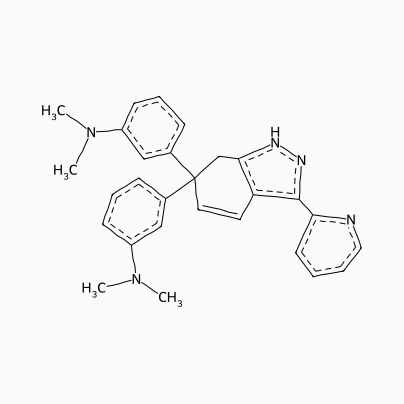 CN(C)c1cccc(C2(c3cccc(N(C)C)c3)C=Cc3c(-c4ccccn4)n[nH]c3C2)c1